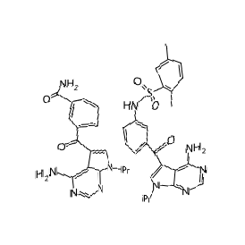 CC(C)n1cc(C(=O)c2cccc(C(N)=O)c2)c2c(N)ncnc21.Cc1ccc(C)c(S(=O)(=O)Nc2cccc(C(=O)c3cn(C(C)C)c4ncnc(N)c34)c2)c1